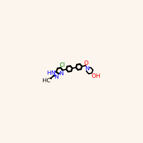 C#Cc1nc2nc(-c3ccc(-c4ccc(C(=O)N5CCC(O)CC5)cc4)cc3)c(Cl)cc2[nH]1